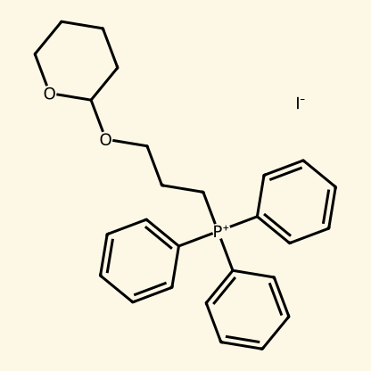 [I-].c1ccc([P+](CCCOC2CCCCO2)(c2ccccc2)c2ccccc2)cc1